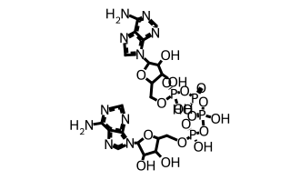 Nc1ncnc2c1ncn2C1OC(COP(=O)(O)OP(=O)(O)OP(=O)(O)OP(=O)(O)OCC2OC(n3cnc4c(N)ncnc43)C(O)C2O)C(O)C1O